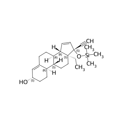 C#C[C@]1(O[Si](C)(C)C)C=C[C@H]2[C@@H]3CCC4=C[C@@H](O)CC[C@@H]4[C@H]3CC[C@@]21CC